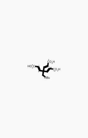 CC(C)(C)CC(C=CC(=O)O)(C=CC(=O)O)C=CC(=O)O